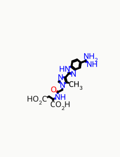 Cc1c(-c2nc3cc(C(=N)N)ccc3[nH]2)ncn1CC(=O)NC(CC(=O)O)C(=O)O